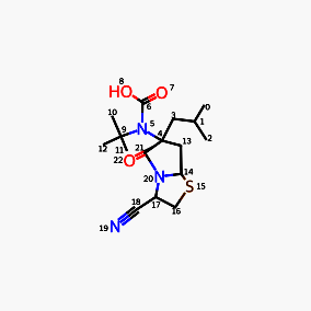 CC(C)CC1(N(C(=O)O)C(C)(C)C)CC2SCC(C#N)N2C1=O